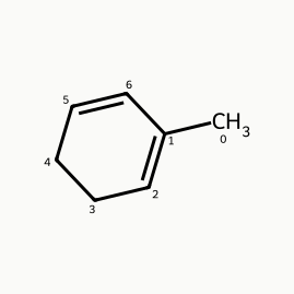 CC1=CCCC=C1